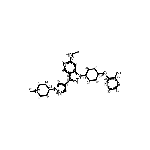 CNc1cc2c(cn1)c(-c1cnn(C3CCN(C)CC3)c1)nn2C1CCC(Oc2nccnc2C)CC1